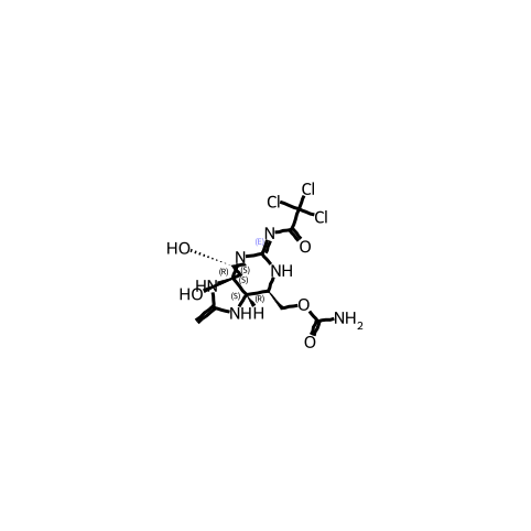 C=C1N[C@H]2[C@H](COC(N)=O)N/C(=N\C(=O)C(Cl)(Cl)Cl)N3C[C@@H](O)[C@@H](O)[C@]23N1